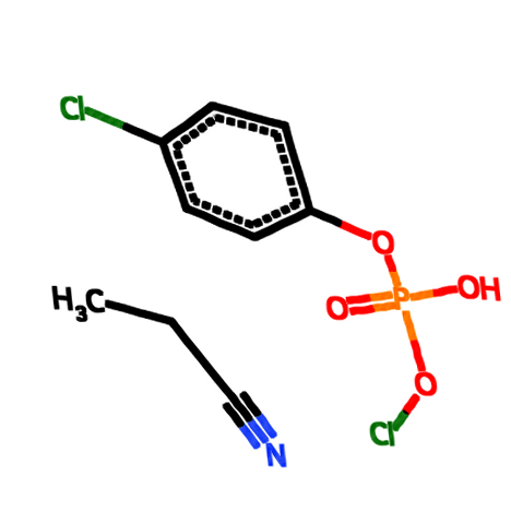 CCC#N.O=P(O)(OCl)Oc1ccc(Cl)cc1